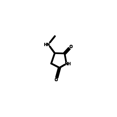 CNC1CC(=O)NC1=O